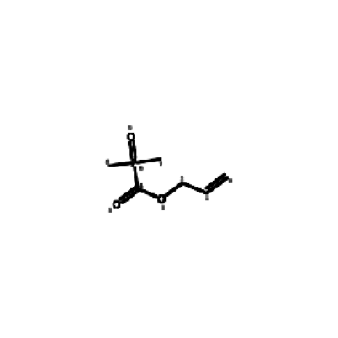 C=CCOC(=O)P(C)(C)=O